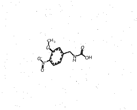 COc1cc(CNC(=O)O)ccc1[N+](=O)[O-]